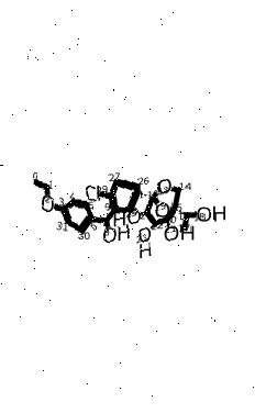 CCOc1ccc(C(O)c2cc([C@]34OC[C@](C(C)O)(O3)[C@@H](O)[C@H](O)[C@H]4O)ccc2Cl)cc1